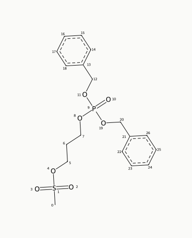 CS(=O)(=O)OCCCOP(=O)(OCc1ccccc1)OCc1ccccc1